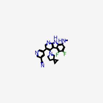 CNc1cc(F)c(F)c2c1[nH]c1ncc(-c3cncc(C#N)c3)c(N3CCC4(CC4)C3)c12